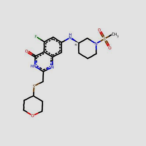 CS(=O)(=O)N1CCC[C@@H](Nc2cc(F)c3c(=O)[nH]c(CSC4CCOCC4)nc3c2)C1